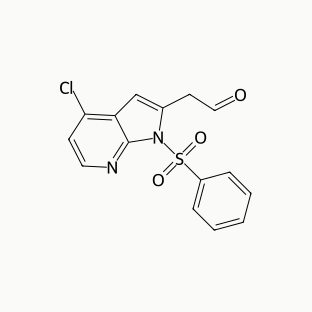 O=CCc1cc2c(Cl)ccnc2n1S(=O)(=O)c1ccccc1